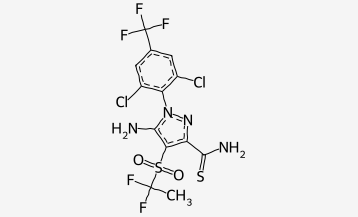 CC(F)(F)S(=O)(=O)c1c(C(N)=S)nn(-c2c(Cl)cc(C(F)(F)F)cc2Cl)c1N